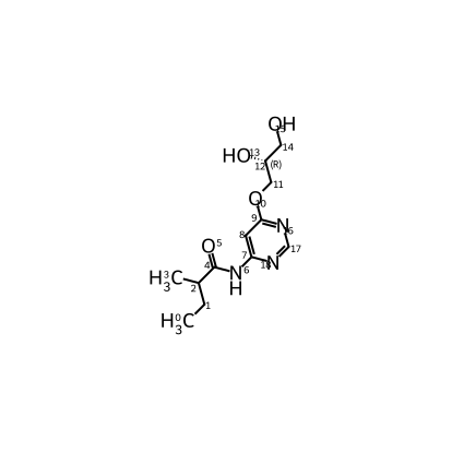 CCC(C)C(=O)Nc1cc(OC[C@H](O)CO)ncn1